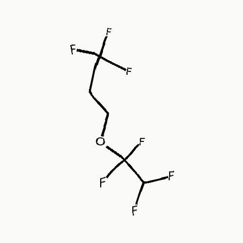 FC(F)C(F)(F)OCCC(F)(F)F